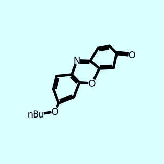 CCCCOc1ccc2nc3ccc(=O)cc-3oc2c1